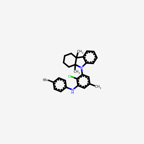 Cc1cc(Nc2ccc(C(C)(C)C)cc2)c(Cl)c(N2c3ccccc3C3(C)CCCCC23C)c1